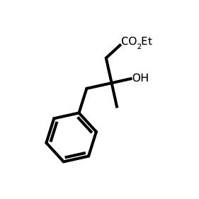 CCOC(=O)CC(C)(O)Cc1ccccc1